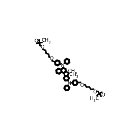 CCC1(COCCCCCOCc2ccc(N(c3ccccc3)c3ccc4c(c3)C(C)(C)c3cc(N(c5ccccc5)c5ccc(COCCCCCOCC6(CC)COC6)cc5)c5ccccc5c3-4)cc2)COC1